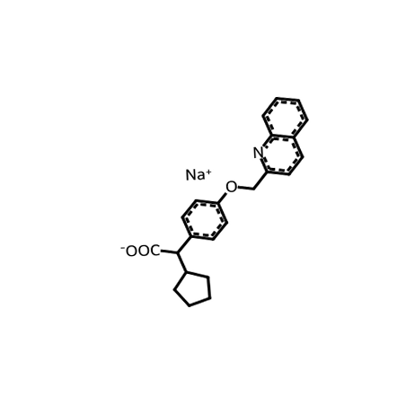 O=C([O-])C(c1ccc(OCc2ccc3ccccc3n2)cc1)C1CCCC1.[Na+]